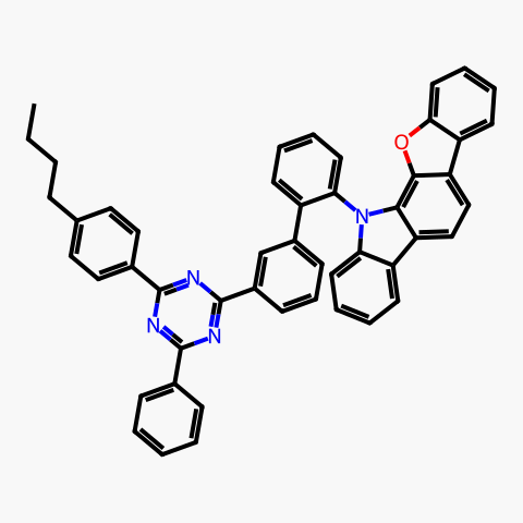 CCCCc1ccc(-c2nc(-c3ccccc3)nc(-c3cccc(-c4ccccc4-n4c5ccccc5c5ccc6c7ccccc7oc6c54)c3)n2)cc1